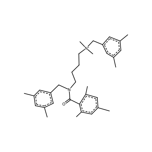 Cc1cc(C)cc(CN(CCCC[N+](C)(C)Cc2cc(C)cc(C)c2)C(=O)c2c(C)cc(C)cc2C)c1